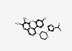 Cc1nc2cnc([C@H]3CCO[C@@H](c4cnn(C(F)F)c4)C3)c(-c3ccc(Cl)cc3F)n2c(=O)c1C